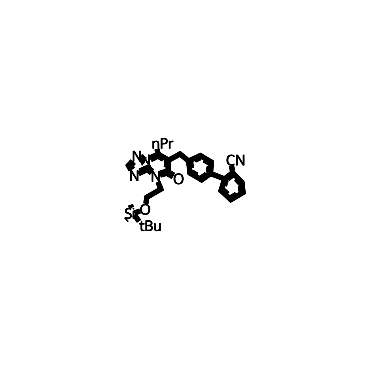 CCCc1c(Cc2ccc(-c3ccccc3C#N)cc2)c(=O)n(CCO[Si](C)(C)C(C)(C)C)c2ncnn12